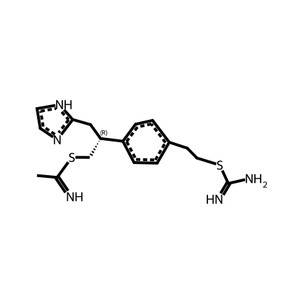 CC(=N)SC[C@H](Cc1ncc[nH]1)c1ccc(CCSC(=N)N)cc1